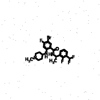 C[C@@H](NC(=O)c1cc(Br)c(F)cc1NC1CCN(C)CC1)c1cccc(C(F)F)c1F